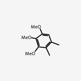 COc1cc(C)c(C)c(OC)c1OC